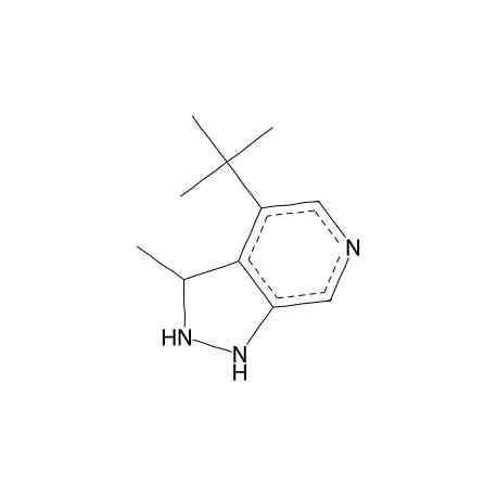 CC1NNc2cncc(C(C)(C)C)c21